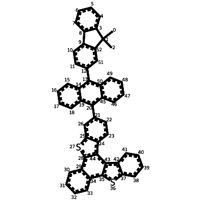 CC1(C)c2ccccc2-c2ccc(-c3c4ccccc4c(-c4ccc5c(c4)sc4c6ccccc6c6sc7ccccc7c6c54)c4ccccc34)cc21